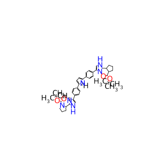 [2H]n1c(-c2ccc(-c3c[nH]c(C4CCCC4C(=O)OC(C)(C)C)n3)cc2)ccc1-c1ccc(-c2c[nH]c(C3CCCN3C(=O)OC(C)(C)C)n2)cc1